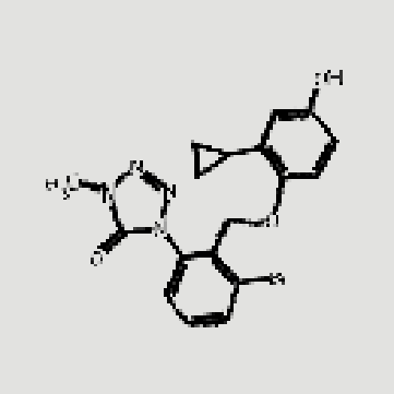 Cn1nnn(-c2cccc(Br)c2COc2ccc(O)cc2C2CC2)c1=O